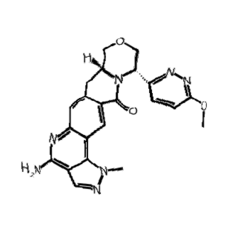 COc1ccc([C@H]2COC[C@H]3Cc4cc5nc(N)c6cnn(C)c6c5cc4C(=O)N32)nn1